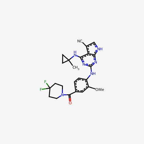 COc1cc(C(=O)N2CCC(F)(F)CC2)ccc1Nc1nc(NC2(C)CC2)c2c(C#N)c[nH]c2n1